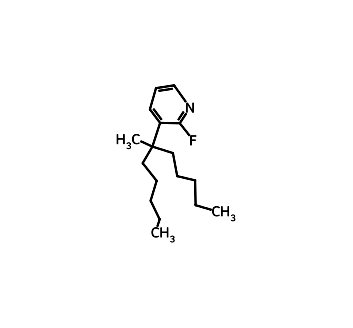 CCCCCC(C)(CCCCC)c1cccnc1F